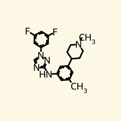 Cc1cc(Nc2ncn(-c3cc(F)cc(F)c3)n2)cc(C2CCN(C)CC2)c1